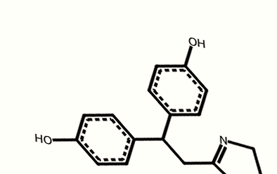 Oc1ccc(C(CC2=NCCN2)c2ccc(O)cc2)cc1